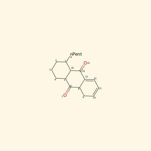 CCCCCC1CCCC2C(=O)C3CC=CC=C3C(=O)C12